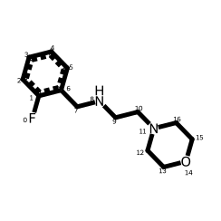 Fc1cc[c]cc1CNCCN1CCOCC1